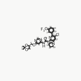 CC1(C)OC[C@H](COc2cc(NC(=O)N3c4nc(-c5cccc(C(F)(F)F)c5)c(Cl)cc4N4CCC3C4)ncn2)O1